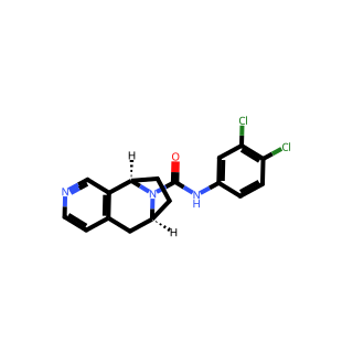 O=C(Nc1ccc(Cl)c(Cl)c1)N1[C@H]2CC[C@@H]1c1cnccc1C2